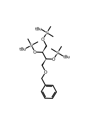 CC(C)(C)[Si](C)(C)OC[C@H](O[Si](C)(C)C(C)(C)C)[C@H](COCc1ccccc1)O[Si](C)(C)C(C)(C)C